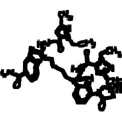 CCn1nc(C)cc1C(=O)Nc1nc2cc(C(N)=O)ccc2n1CCCCn1c(NC(=O)c2cc(C)nn2CC)nc2c(N3CN(C)CC3=O)cccc21